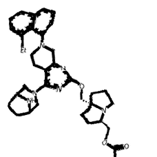 CCc1cccc2cccc(N3CCc4c(nc(OC[C@]56CCCN5[C@@H](COC(=O)NC)CC6)nc4N4CC5CCC(C4)N5)C3)c12